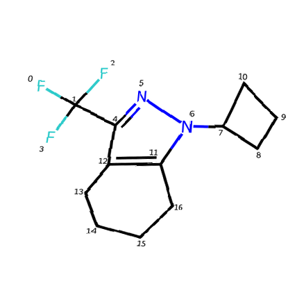 FC(F)(F)c1nn(C2CCC2)c2c1CCCC2